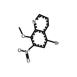 COc1c([N+](=O)[O-])cc(Br)c2cccnc12